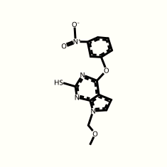 COCn1ccc2c(Oc3cccc([N+](=O)[O-])c3)nc(S)nc21